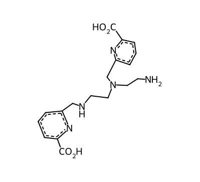 NCCN(CCNCc1cccc(C(=O)O)n1)Cc1cccc(C(=O)O)n1